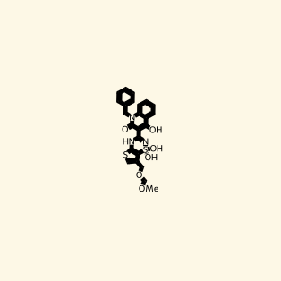 COCOCc1csc2c1S(O)(O)N=C(c1c(O)c3ccccc3n(Cc3ccccc3)c1=O)N2